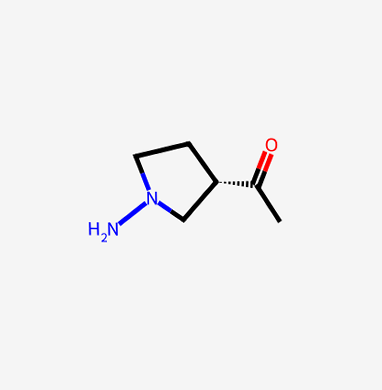 CC(=O)[C@H]1CCN(N)C1